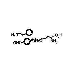 CC(=O)Nc1ccc(C=O)cc1.NCCCC[C@@H](N)C(=O)O.NCCc1ccccc1